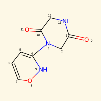 O=C1CN(C2=CC=CON2)C(=O)CN1